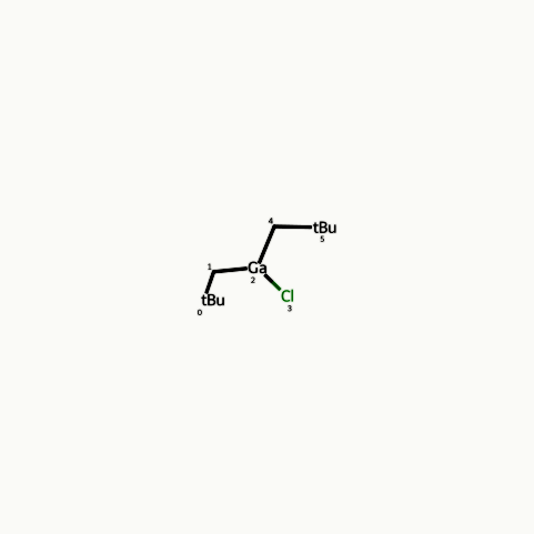 CC(C)(C)[CH2][Ga]([Cl])[CH2]C(C)(C)C